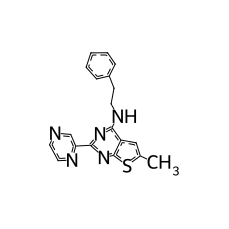 Cc1cc2c(NCCc3ccccc3)nc(-c3cnccn3)nc2s1